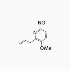 C=CCc1nc(N=O)ccc1OC